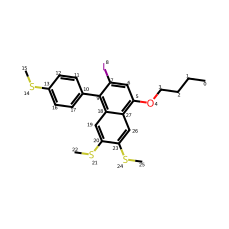 CCCCOc1cc(I)c(-c2ccc(SC)cc2)c2cc(SC)c(SC)cc12